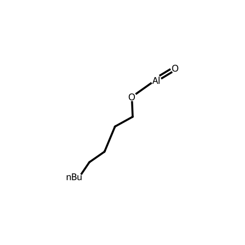 CCCCCCCC[O][Al]=[O]